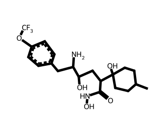 CC1CCC(O)(C(CC(O)C(N)Cc2ccc(OC(F)(F)F)cc2)C(=O)NO)CC1